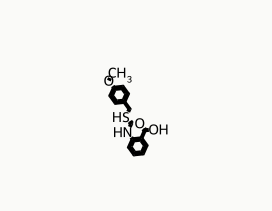 COc1ccc(C[SH]=CNc2ccccc2C(=O)O)cc1